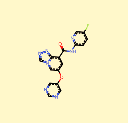 O=C(Nc1ccc(F)cn1)c1cc(Oc2cncnc2)cn2cnnc12